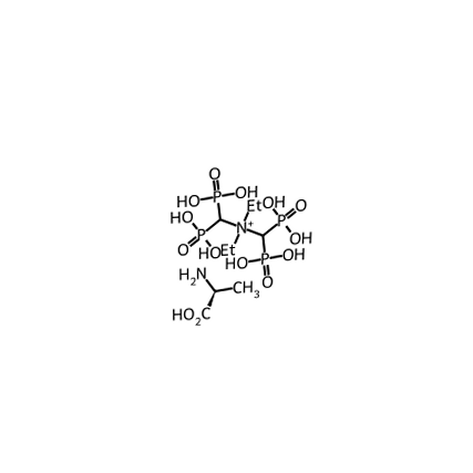 CC[N+](CC)(C(P(=O)(O)O)P(=O)(O)O)C(P(=O)(O)O)P(=O)(O)O.C[C@H](N)C(=O)O